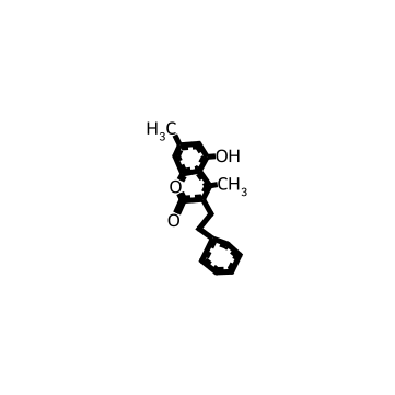 Cc1cc(O)c2c(C)c(CCc3ccccc3)c(=O)oc2c1